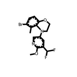 COc1ncc(N2CCOc3ccc(Br)c(C)c32)cc1C(F)F